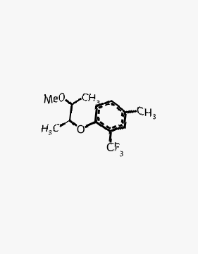 COC(C)[C@H](C)Oc1ccc(C)cc1C(F)(F)F